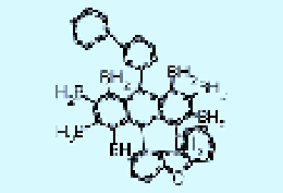 Bc1c(B)c(B)c2c(-c3cccc4oc5ccccc5c34)c3c(B)c(B)c(B)c(B)c3c(-c3cccc(-c4ccccc4)c3)c2c1B